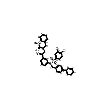 COC(=O)C(CC(=O)c1cccc(N(Cc2ccc(-c3ccccc3)cc2)S(=O)(=O)c2ccc(Cl)c(Cl)c2)c1)Cc1ccccc1